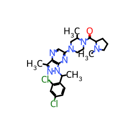 Cc1nn(C(C)c2ccc(Cl)cc2Cl)c2nc(N3CCN(C(=O)C4CCCN4C)C(C)C3)cnc12